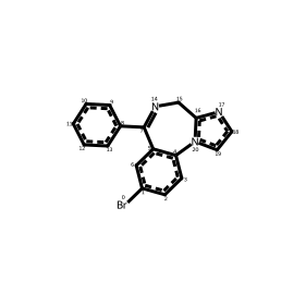 Brc1ccc2c(c1)C(c1ccccc1)=NCc1nccn1-2